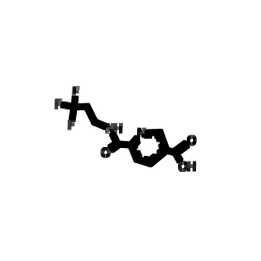 O=C(O)c1ccc(C(=O)NCCC(F)(F)F)nc1